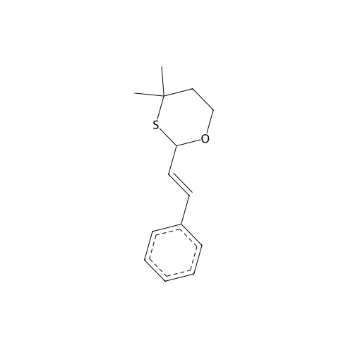 CC1(C)CCOC(/C=C/c2ccccc2)S1